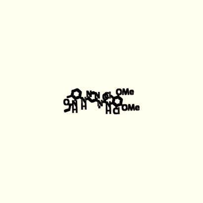 C=CC(=O)Nc1c(C)cccc1Nc1cc(N(C)C(=O)Nc2c(Cl)c(OC)cc(OC)c2Cl)ncn1